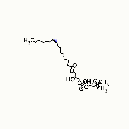 CCCCCC/C=C\CCCCCCCC(=O)OC[C@@H](O)COP(=O)(O)OCC[N+](C)(C)C